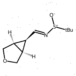 CC(C)(C)[S+]([O-])/N=C/[C@H]1[C@H]2COC[C@@H]12